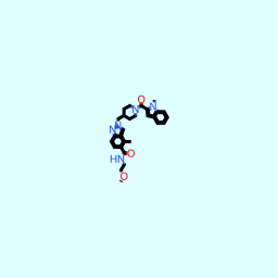 COCCNC(=O)c1ccc2nn(CC3CCN(C(=O)c4cc5ccccc5n4C)CC3)cc2c1C